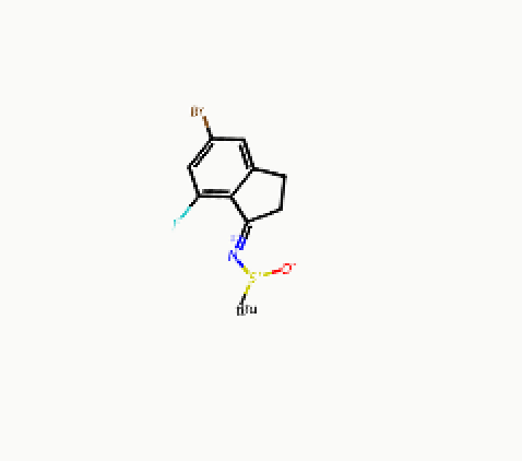 CC(C)(C)[S+]([O-])/N=C1\CCc2cc(Br)cc(F)c21